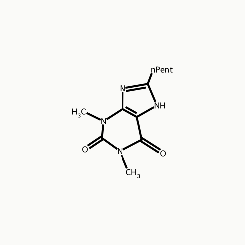 CCCCCc1nc2c([nH]1)c(=O)n(C)c(=O)n2C